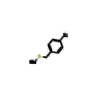 CCc1ccc(CSC(C)(C)C)cc1